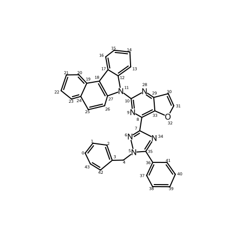 c1ccc(Cn2nc(-c3nc(-n4c5ccccc5c5c6ccccc6ccc54)nc4ccoc34)nc2-c2ccccc2)cc1